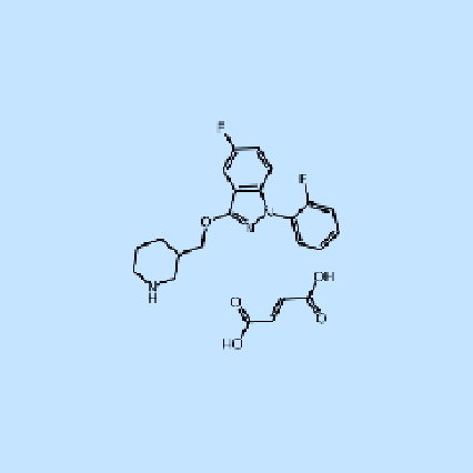 Fc1ccc2c(c1)c(OCC1CCCNC1)nn2-c1ccccc1F.O=C(O)C=CC(=O)O